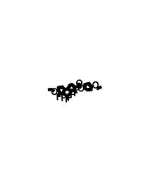 CCOc1ccc(OC(=O)c2ccc3c(c2F)C(F)(F)C(F)(F)c2c-3ccc(OCC)c2F)cc1